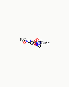 CO[C@@H](C1CCCN1)[C@@H](C)C(=O)NS(=O)(=O)c1ccc(CNC(=O)C(F)(F)F)cc1